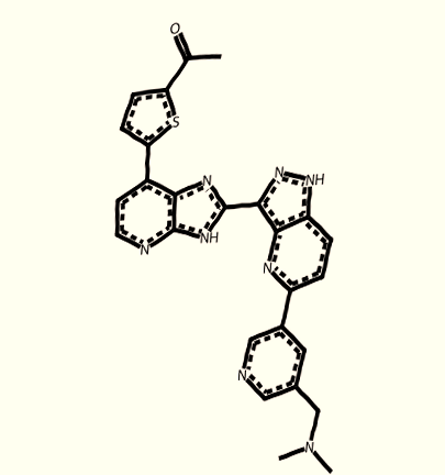 CC(=O)c1ccc(-c2ccnc3[nH]c(-c4n[nH]c5ccc(-c6cncc(CN(C)C)c6)nc45)nc23)s1